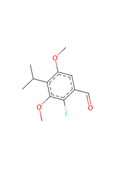 COc1cc(C=O)c(F)c(OC)c1C(C)C